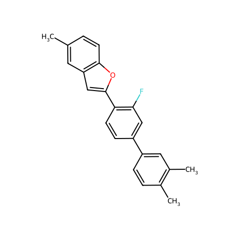 Cc1ccc2oc(-c3ccc(-c4ccc(C)c(C)c4)cc3F)cc2c1